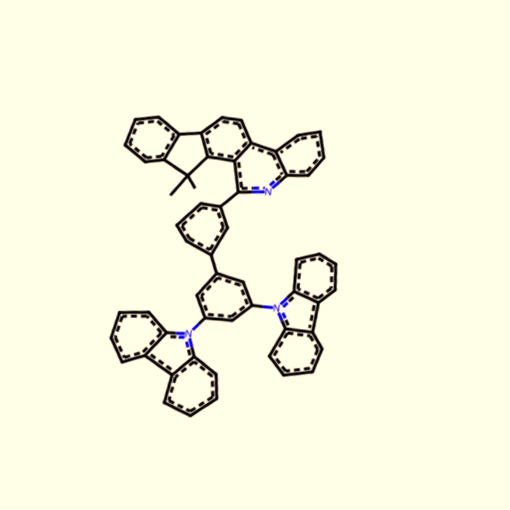 CC1(C)c2ccccc2-c2ccc3c(c(-c4cccc(-c5cc(-n6c7ccccc7c7ccccc76)cc(-n6c7ccccc7c7ccccc76)c5)c4)nc4ccccc43)c21